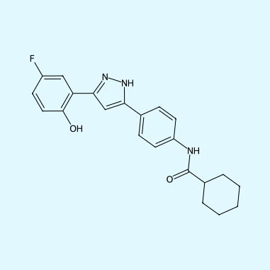 O=C(Nc1ccc(-c2cc(-c3cc(F)ccc3O)n[nH]2)cc1)C1CCCCC1